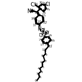 CCCCCCCCCCCCc1ccc(S(=O)(=O)ON=C2C=CC(=C(C#N)c3ccc(Cl)cc3Cl)C=C2)cc1